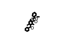 CCO[P@@](=O)(C(=O)c1c(C)cc(C)c(C(=O)c2ccccc2)c1C)c1ccccc1